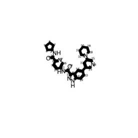 O=C(NC1CCCC1)c1ccc(NC(=O)c2n[nH]c3ccc(-c4cncc(N5CCCCC5)c4)cc23)cn1